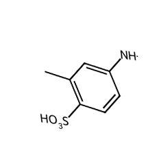 Cc1cc([NH])ccc1S(=O)(=O)O